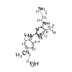 CN(CCO)c1ccc(Nc2ncc(C3CC3)c(NCCCN)n2)cc1